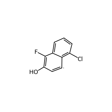 Oc1c[c]c2c(Cl)cccc2c1F